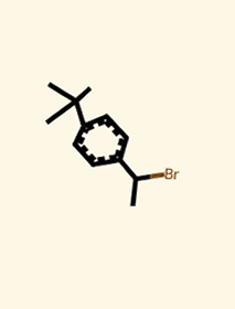 CC(Br)c1ccc(C(C)(C)C)cc1